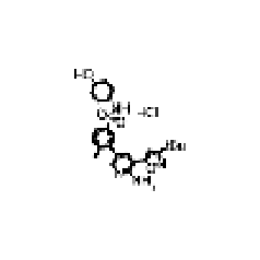 Cc1ccc(S(=O)(=O)N[C@H]2CC[C@H](O)CC2)cc1-c1cnc(N)c(-c2cc(C(C)(C)C)no2)c1.Cl